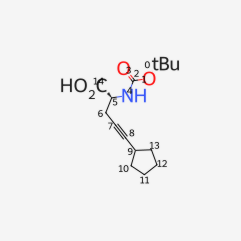 CC(C)(C)OC(=O)N[C@@H](CC#CC1CCCC1)C(=O)O